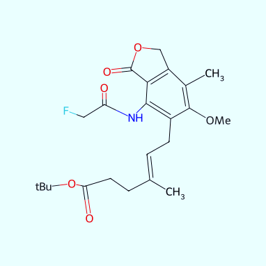 COc1c(C)c2c(c(NC(=O)CF)c1C/C=C(\C)CCC(=O)OC(C)(C)C)C(=O)OC2